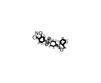 O=[N+]([O-])c1cc(S(=O)(=O)N2CCC(N3COCc4ccccc43)CC2)ccc1Cl